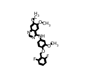 COc1cc2ncnc(Nc3ccc(OCc4c(F)cccc4F)c(OC)c3)c2cc1OC